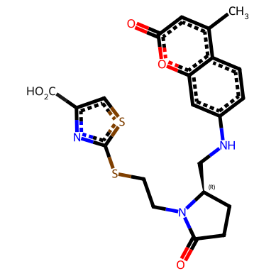 Cc1cc(=O)oc2cc(NC[C@H]3CCC(=O)N3CCSc3nc(C(=O)O)cs3)ccc12